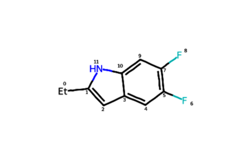 CCc1cc2cc(F)c(F)cc2[nH]1